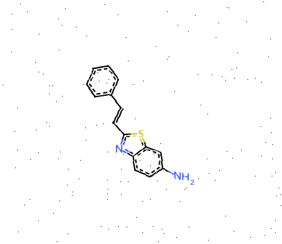 Nc1ccc2nc(C=Cc3ccccc3)sc2c1